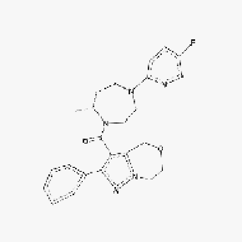 C[C@@H]1CCN(c2ccc(F)cn2)CCN1C(=O)c1c(-c2ccccc2)nn2c1COCC2